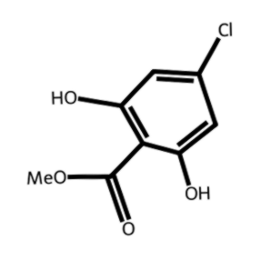 COC(=O)c1c(O)cc(Cl)cc1O